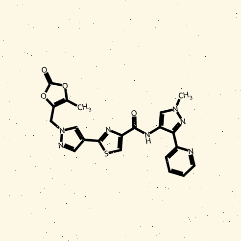 Cc1oc(=O)oc1Cn1cc(-c2nc(C(=O)Nc3cn(C)nc3-c3ccccn3)cs2)cn1